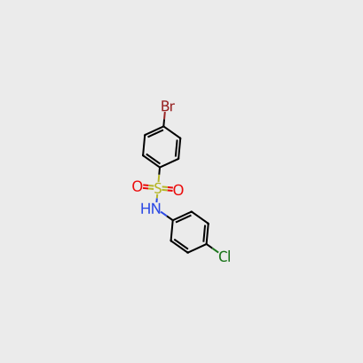 O=S(=O)(Nc1ccc(Cl)cc1)c1ccc(Br)cc1